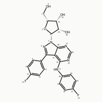 OC[C@H]1O[C@@H](n2nc(-c3ccc(F)cc3)c3c(Nc4ccc(F)cc4)ncnc32)[C@@H](O)[C@H]1O